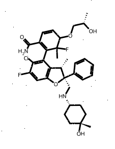 C[C@H](O)COC1C=CC(C(N)=O)=C(c2c(Cl)c(F)cc3c2[C@H](C)[C@@](CN[C@H]2CC[C@@](C)(O)CC2)(c2ccccc2)O3)C1(C)F